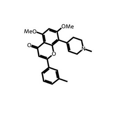 COc1cc(OC)c2c(=O)cc(-c3cccc(C)c3)oc2c1C1=CCN(C)CC1